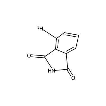 [2H]c1cccc2c1C(=O)NC2=O